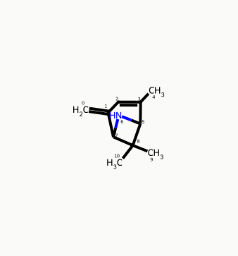 C=C1C=C(C)C2NC1C2(C)C